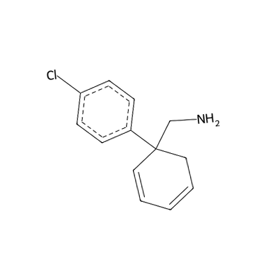 NCC1(c2ccc(Cl)cc2)C=CC=CC1